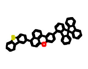 c1ccc2c(c1)-c1ccccc1C21c2ccccc2-c2c(-c3ccc4c(c3)-c3cccc5c(-c6ccc7sc8ccccc8c7c6)ccc(c35)O4)cccc21